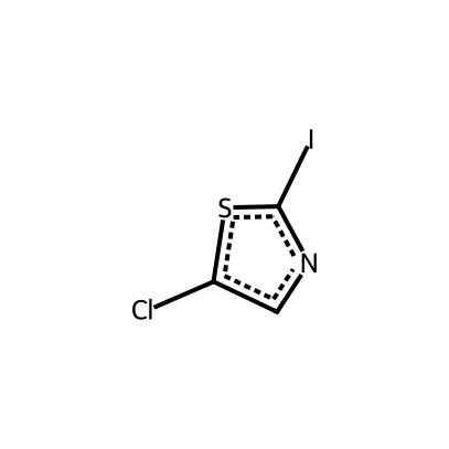 Clc1cnc(I)s1